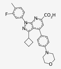 Cc1ccc(-n2nc(C3CCC3)c3c(-c4ccc(N5CCOCC5)cc4)cc(C(=O)O)nc32)cc1F